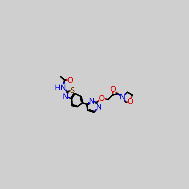 CC(=O)Nc1nc2ccc(-c3ccnc(OCC4OC4N4CCOC4)n3)cc2s1